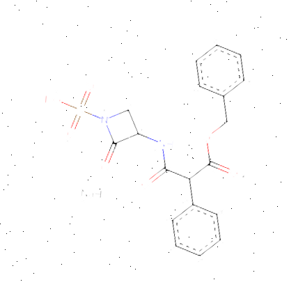 O=C(NC1CN(S(=O)(=O)O)C1=O)C(C(=O)OCc1ccccc1)c1ccccc1.[NaH]